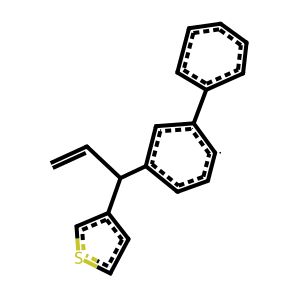 C=CC(c1ccsc1)c1cc[c]c(-c2ccccc2)c1